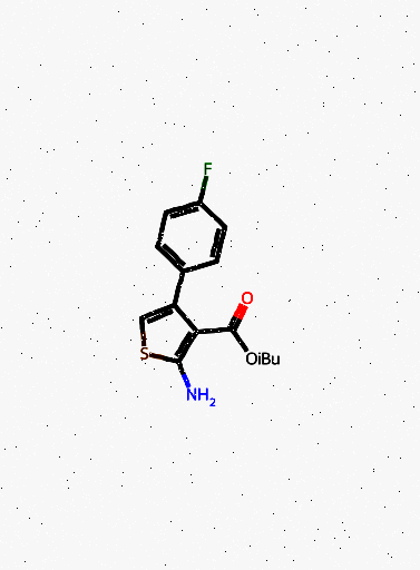 CC(C)COC(=O)c1c(-c2ccc(F)cc2)csc1N